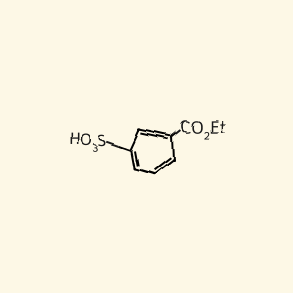 CCOC(=O)c1cccc(S(=O)(=O)O)c1